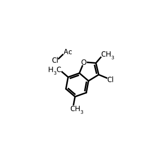 CC(=O)Cl.Cc1cc(C)c2oc(C)c(Cl)c2c1